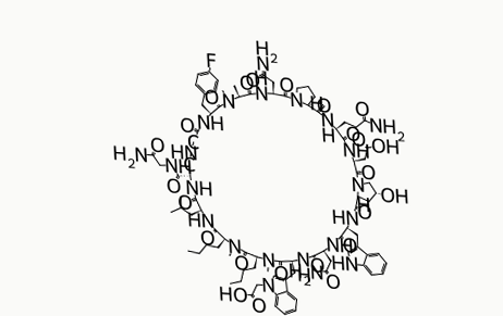 CCCC[C@H]1C(=O)N(C)[C@@H](CCCC)C(=O)N[C@@H](CC(C)C)C(=O)N[C@H](C(=O)NCC(N)=O)CNCC(=O)N[C@@H](Cc2ccc(F)cc2)C(=O)N(C)[C@@H](C)C(=O)N[C@@H](CC(N)=O)C(=O)N2CCC[C@H]2C(=O)N[C@@H](CCC(N)=O)C(=O)N[C@@H](CC(=O)O)C(=O)N2C[C@H](O)C[C@H]2C(=O)N[C@@H](Cc2c[nH]c3ccccc23)C(=O)N[C@@H](CC(N)=O)C(=O)N[C@@H](Cc2cn(CC(=O)O)c3ccccc23)C(=O)N1C